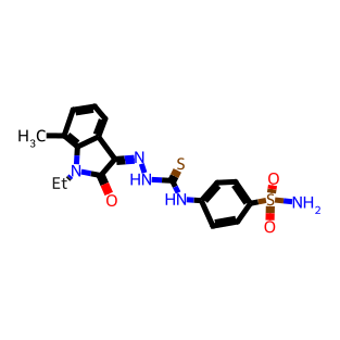 CCN1C(=O)C(=NNC(=S)Nc2ccc(S(N)(=O)=O)cc2)c2cccc(C)c21